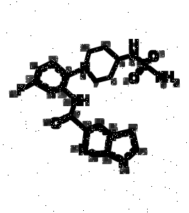 NS(=O)(=O)NC1CCN(c2ccc(F)cc2NC(=O)c2cn3ccnc3cn2)CC1